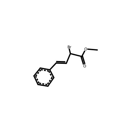 COC(=O)C(Br)C=Cc1ccccc1